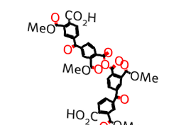 COC(=O)c1cc(C(=O)c2ccc(C(=O)OC(=O)c3ccc(C(=O)c4ccc(C(=O)O)c(C(=O)OC)c4)cc3C(=O)OC)c(C(=O)OC)c2)ccc1C(=O)O